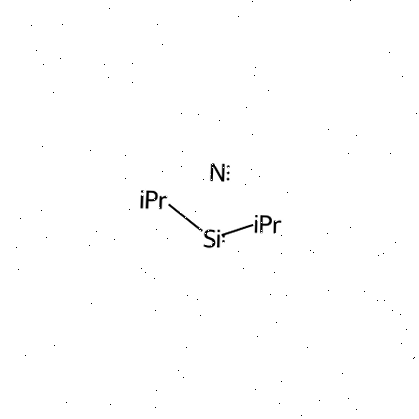 CC(C)[Si]C(C)C.[N]